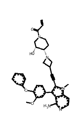 C=CC(=O)N1CC[C@H](N2CC(C#Cc3c(-c4ccc(Oc5ccccc5)c(OC)c4)c4c(N)nccc4n3C)C2)[C@H](O)C1